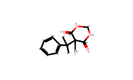 CCC1(C(C)(C)c2ccccc2)C(=O)OCOC1=O